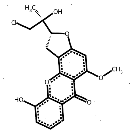 COc1cc2c(c3oc4c(O)cccc4c(=O)c13)C[C@H]([C@](C)(O)CCl)O2